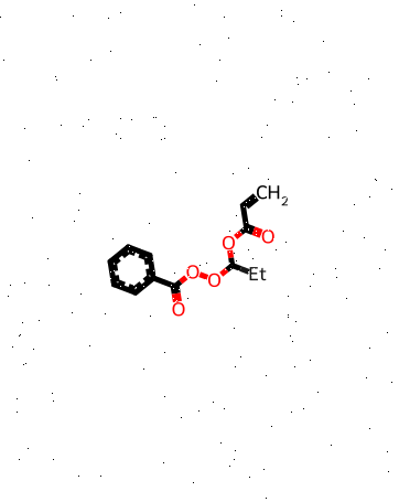 C=CC(=O)OC(CC)OOC(=O)c1ccccc1